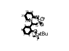 CC(C)(C)[Si](C)(C)Oc1ccccc1C1CS(=O)(=O)N=C2C=CC=CN21